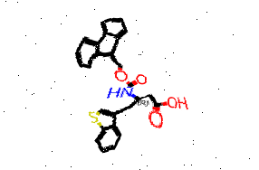 O=C(O)C[C@@H](Cc1csc2ccccc12)NC(=O)OCC1c2ccccc2-c2ccccc21